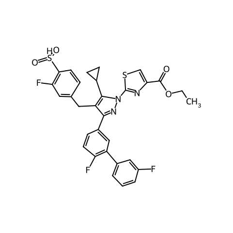 CCOC(=O)c1csc(-n2nc(-c3ccc(F)c(-c4cccc(F)c4)c3)c(Cc3ccc([SH](=O)=O)c(F)c3)c2C2CC2)n1